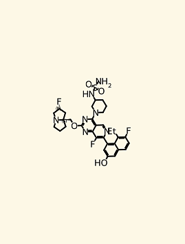 CCc1c(F)ccc2cc(O)cc(-c3ncc4c(N5CCCC(NS(N)(=O)=O)C5)nc(OC[C@@]56CCCN5C[C@H](F)C6)nc4c3F)c12